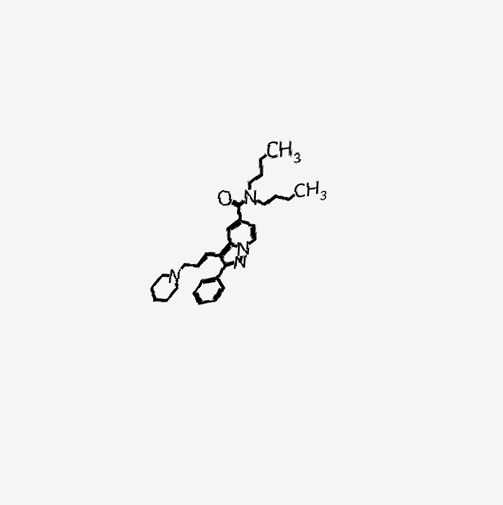 CCCCN(CCCC)C(=O)c1ccn2nc(-c3ccccc3)c(/C=C/CN3CCCCC3)c2c1